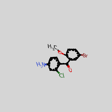 COc1ccc(Br)cc1C(=O)c1ccc(N)cc1Cl